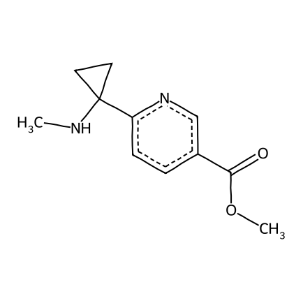 CNC1(c2ccc(C(=O)OC)cn2)CC1